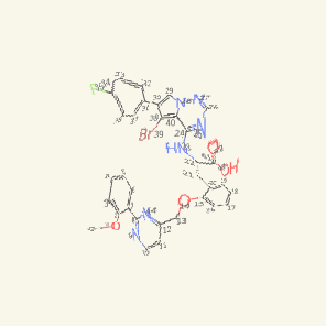 COc1ccccc1-c1nccc(COc2ccccc2C[C@H](Nc2ncnn3cc(-c4ccc(F)cc4)c(Br)c23)C(=O)O)n1